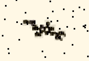 CN(C)/C=N/c1nc2c(nc(NCCNC(C)(C)C)n2C(C)(C)C)c(=O)[nH]1